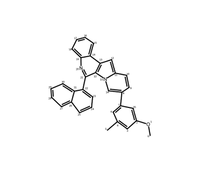 COc1cc(C)cc(-c2ccc3cc4c5ccccc5nc(-c5cccc6ccccc56)c4n3c2)c1